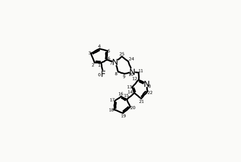 Fc1ccccc1N1CCN(Cc2cc(-c3ccccc3)ccn2)CC1